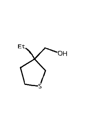 CCC1(CO)CCSC1